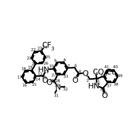 CCOC(=O)C1(COC(=O)Cc2ccc(NC(=O)c3ccccc3-c3ccc(C(F)(F)F)cc3)c(C(=O)N(C)C)c2)NC(=O)c2ccccc21